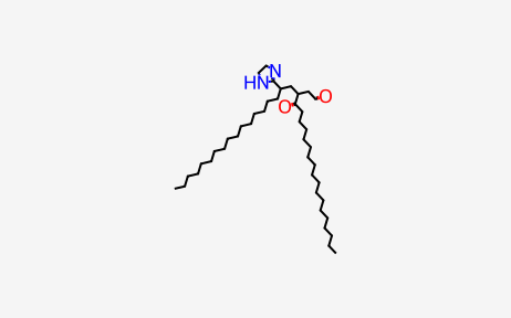 CCCCCCCCCCCCCCCCCC(=O)C(CC=O)CC(CCCCCCCCCCCCCCCC)C1=NCCN1